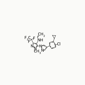 C=CNc1c(C(F)(F)C(F)(F)F)nn(C)c1-n1cc(-c2ccc(Cl)c(C3CC3)c2)cn1